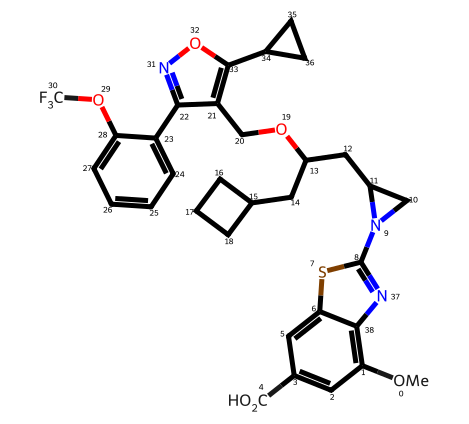 COc1cc(C(=O)O)cc2sc(N3CC3CC(CC3CCC3)OCc3c(-c4ccccc4OC(F)(F)F)noc3C3CC3)nc12